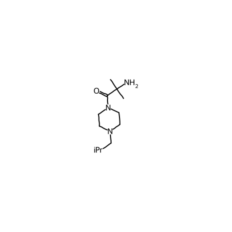 CC(C)CN1CCN(C(=O)C(C)(C)N)CC1